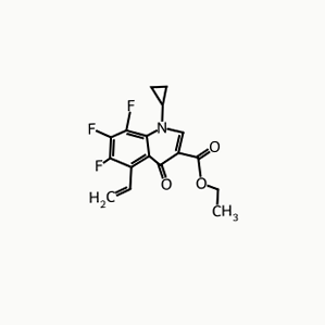 C=Cc1c(F)c(F)c(F)c2c1c(=O)c(C(=O)OCC)cn2C1CC1